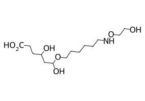 O=C(O)CCC(O)CC(O)OCCCCCCNOCCO